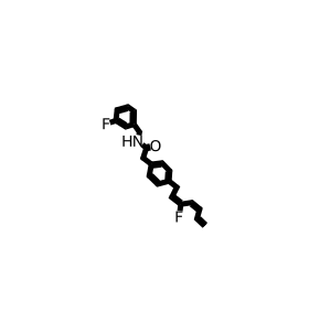 C=C/C=C\C(F)=C/Cc1ccc(CC(=O)NCc2cccc(F)c2)cc1